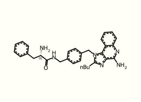 CCCCc1nc2c(N)nc3ccccc3c2n1Cc1ccc(CNC(=O)[C@@H](N)Cc2ccccc2)cc1